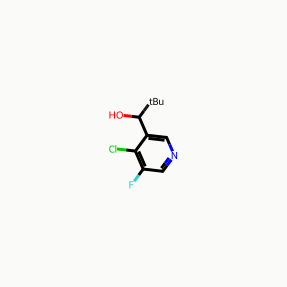 CC(C)(C)C(O)c1cncc(F)c1Cl